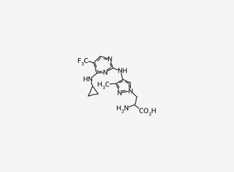 Cc1nn(CC(N)C(=O)O)cc1Nc1ncc(C(F)(F)F)c(NC2CC2)n1